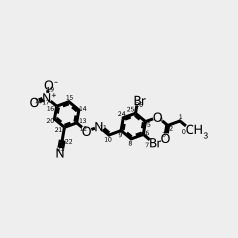 CCC(=O)Oc1c(Br)cc(C=NOc2ccc([N+](=O)[O-])cc2C#N)cc1Br